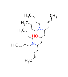 CC=CCC(CC(O)CC(CC=CC)N(CCCC)CCCC)N(CCCC)CCCC